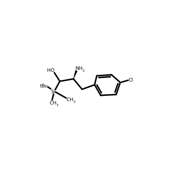 CC(C)(C)[Si](C)(C)C(O)[C@@H](N)Cc1ccc(Cl)cc1